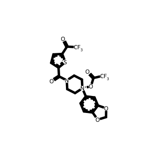 O=C(c1ccc(C(=O)C(F)(F)F)s1)N1CC[N+](OC(=O)C(F)(F)F)(c2ccc3c(c2)OCO3)CC1